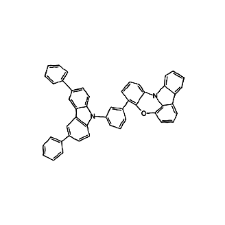 c1ccc(-c2ccc3c(c2)c2cc(-c4ccccc4)ccc2n3-c2cccc(-c3cccc4c3Oc3cccc5c6ccccc6n-4c35)c2)cc1